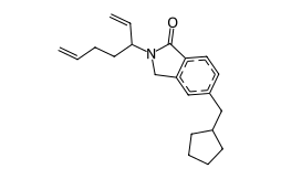 C=CCCC(C=C)N1Cc2cc(CC3CCCC3)ccc2C1=O